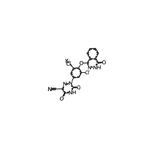 N#Cc1nn(-c2cc(Cl)c(Oc3n[nH]c(=O)c4ccccc34)c(Cl)c2)c(=O)[nH]c1=O.[K]